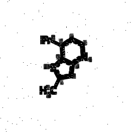 Cc1cc2nccc(C(C)C)c2s1